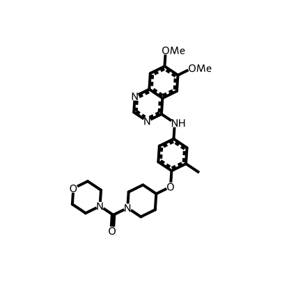 COc1cc2ncnc(Nc3ccc(OC4CCN(C(=O)N5CCOCC5)CC4)c(C)c3)c2cc1OC